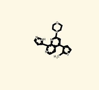 Cc1sccc1-c1cc(N2CCOCC2)nc2c(-c3ccn[nH]3)nccc12